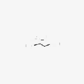 CC(=O)O.O=C(O)CCC(=O)O.[Zr]